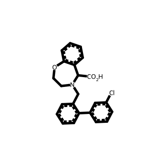 O=C(O)C1c2ccccc2OCCN1Cc1ccccc1-c1cccc(Cl)c1